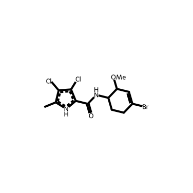 COC1C=C(Br)CCC1NC(=O)c1[nH]c(C)c(Cl)c1Cl